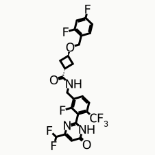 O=c1cc(C(F)F)nc(-c2c(C(F)(F)F)ccc(CNC(=O)[C@H]3C[C@H](OCc4ccc(F)cc4F)C3)c2F)[nH]1